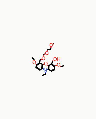 CCOc1ccc2c(c1CO)Oc1c(ccc(OCC)c1COCOCCOC)N2CC